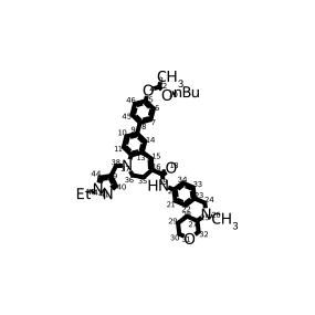 CCCCOC(C)Oc1ccc(-c2ccc3c(c2)C=C(C(=O)Nc2ccc(CN(C)C4CCCOC4)cc2)CCN3Cc2cnn(CC)c2)cc1